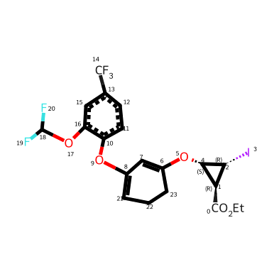 CCOC(=O)[C@@H]1[C@@H](I)[C@H]1OC1=CC(Oc2ccc(C(F)(F)F)cc2OC(F)F)=CCC1